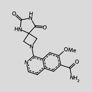 COc1cc2c(N3CC4(C3)NC(=O)NC4=O)nccc2cc1C(N)=O